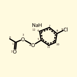 CC(=O)OOc1ccc(Cl)cc1.[NaH]